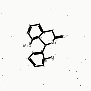 COc1cccc2c1C(c1ccccc1Cl)NC(=O)C2